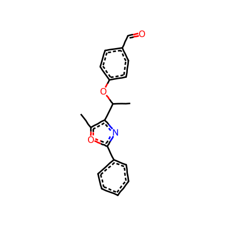 Cc1oc(-c2ccccc2)nc1C(C)Oc1ccc(C=O)cc1